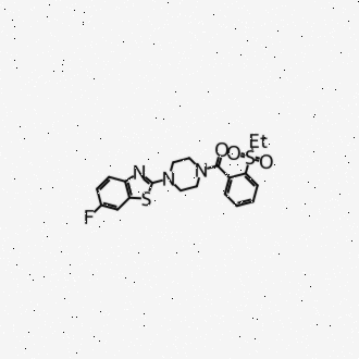 CCS(=O)(=O)c1ccccc1C(=O)N1CCN(c2nc3ccc(F)cc3s2)CC1